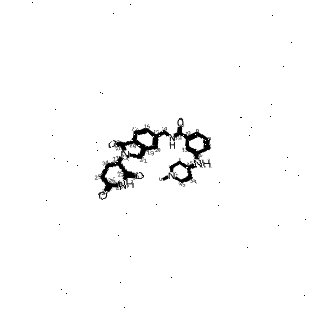 CN1CCC(Nc2cccc(C(=O)NCc3ccc4c(c3)CN(C3CCC(=O)NC3=O)C4=O)c2)CC1